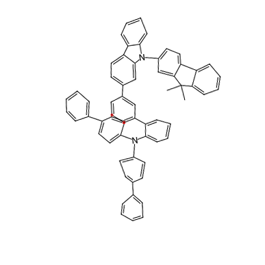 CC1(C)c2ccccc2-c2ccc(-n3c4ccccc4c4ccc(-c5cccc(-c6ccccc6N(c6ccc(-c7ccccc7)cc6)c6ccc(-c7ccccc7)cc6)c5)cc43)cc21